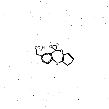 O=C(O)Cc1ccc2c(c1)C1(OO1)OC1=C(CCC=C1)S2